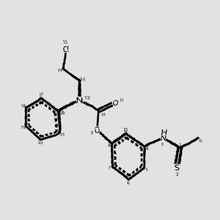 CC(=S)Nc1cccc(OC(=O)N(CCCl)c2ccccc2)c1